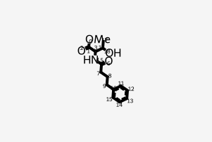 COC(=O)C(NC(=O)CCCc1ccccc1)C(C)O